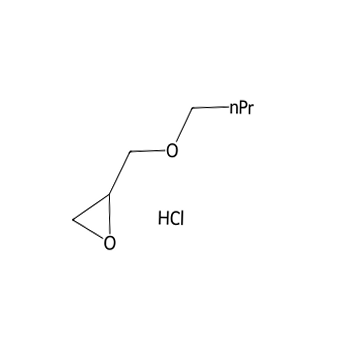 CCCCOCC1CO1.Cl